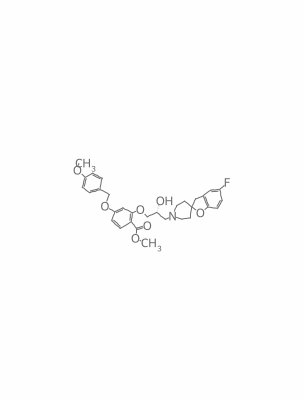 COC(=O)c1ccc(OCc2ccc(OC)cc2)cc1OC[C@H](O)CN1CCC2(CC1)Cc1cc(F)ccc1O2